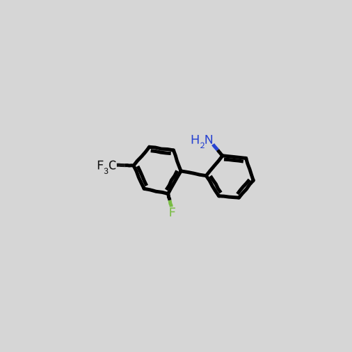 Nc1ccccc1-c1ccc(C(F)(F)F)cc1F